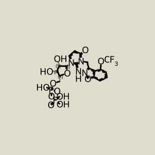 N=c1n([C@@H]2O[C@H](COP(=O)(O)OP(=O)(O)O)[C@H](O)[C@@H]2O)ccc(=O)n1Cc1noc2cccc(OC(F)(F)F)c12